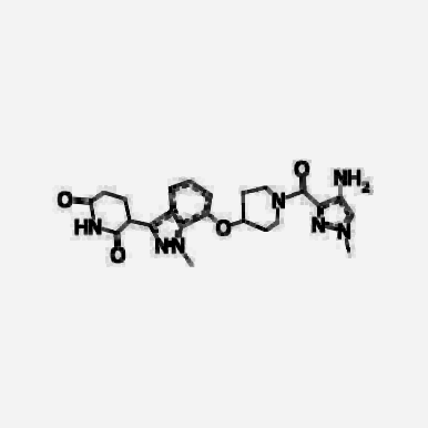 Cn1cc(N)c(C(=O)N2CCC(Oc3cccc4c(C5CCC(=O)NC5=O)nn(C)c34)CC2)n1